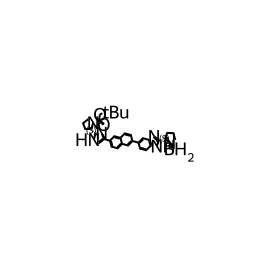 BN1CCC[C@H]1c1nc2cc(-c3ccc4cc(-c5c[nH]c([C@@H]6CCCN6C(=O)OC(C)(C)C)n5)ccc4c3)ccc2[nH]1